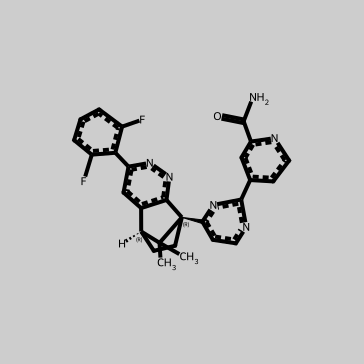 CC1(C)[C@H]2CC[C@@]1(c1ccnc(-c3ccnc(C(N)=O)c3)n1)c1nnc(-c3c(F)cccc3F)cc12